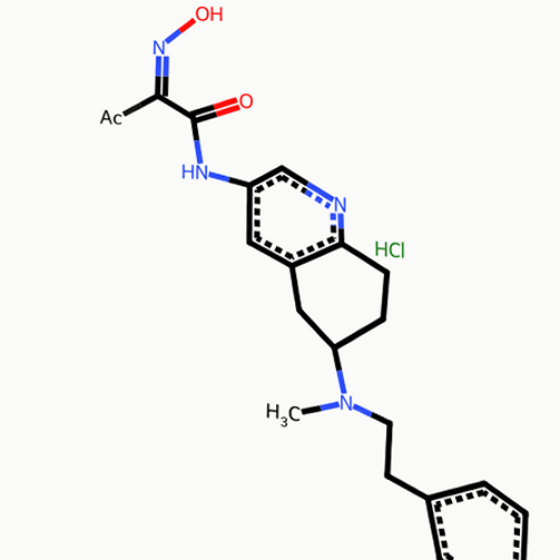 CC(=O)/C(=N/O)C(=O)Nc1cnc2c(c1)CC(N(C)CCc1ccccc1)CC2.Cl